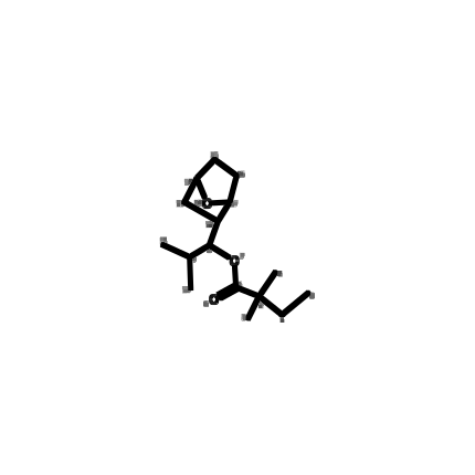 CCC(C)(C)C(=O)OC(C(C)C)C1CC2CCC1O2